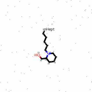 CCCCCCCCCCCCN1CCCCC1CO